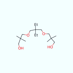 CCC(CC)(COCC(C)(C)CO)COCC(C)(C)CO